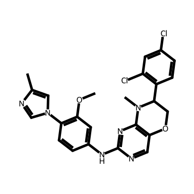 COc1cc(Nc2ncc3c(n2)N(C)C(c2ccc(Cl)cc2Cl)CO3)ccc1-n1cnc(C)c1